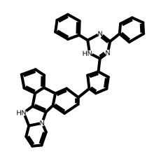 C1=CC2Nc3c(c4ccc(-c5cccc(C6=NC(c7ccccc7)=NC(c7ccccc7)N6)c5)cc4c4ccccc34)N2C=C1